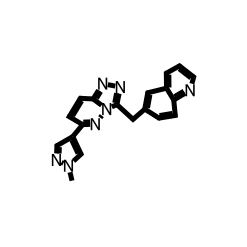 Cn1cc(-c2ccc3nnc(Cc4ccc5ncccc5c4)n3n2)cn1